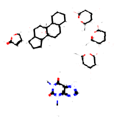 C[C@H]1O[C@@H](O[C@H]2[C@@H](O)C[C@H](O[C@H]3[C@@H](O)C[C@H](O[C@H]4CC[C@@]5(C)[C@H](CC[C@@H]6[C@@H]5C[C@@H](O)[C@]5(C)[C@@H](C7=CC(=O)OC7)CC[C@]65O)C4)O[C@@H]3C)O[C@@H]2C)C[C@H](O)[C@@H]1O.Cn1c(=O)c2[nH]cnc2n(C)c1=O.O